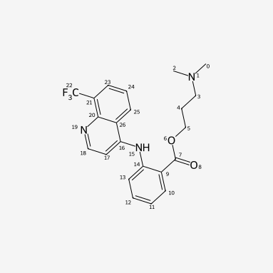 CN(C)CCCOC(=O)c1ccccc1Nc1ccnc2c(C(F)(F)F)cccc12